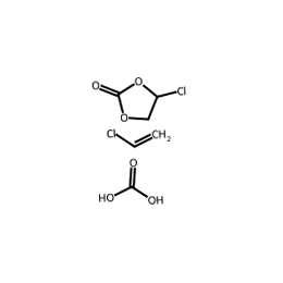 C=CCl.O=C(O)O.O=C1OCC(Cl)O1